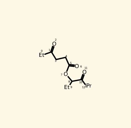 CCC(=O)CCC(=O)OC(CC)C(=O)C(C)C